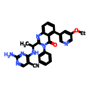 CCOc1cncc(-c2cccc3nc(C(C)Nc4nc(N)ncc4C#N)n(-c4ccccc4)c(=O)c23)c1